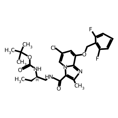 CC[C@H](CNC(=O)c1c(C)nc2c(OCc3c(F)cccc3F)cc(Cl)cn12)NC(=O)OC(C)(C)C